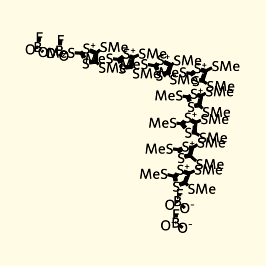 CSc1sc(SC)c(SC)[s+]1.CSc1sc(SC)c(SC)[s+]1.CSc1sc(SC)c(SC)[s+]1.CSc1sc(SC)c(SC)[s+]1.CSc1sc(SC)c(SC)[s+]1.CSc1sc(SC)c(SC)[s+]1.CSc1sc(SC)c(SC)[s+]1.CSc1sc(SC)c(SC)[s+]1.[O-]B([O-])F.[O-]B([O-])F.[O-]B([O-])F.[O-]B([O-])F